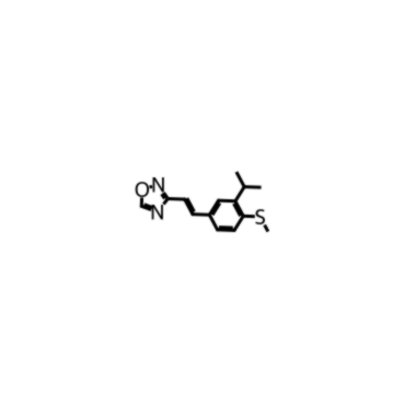 CSc1ccc(C=Cc2ncon2)cc1C(C)C